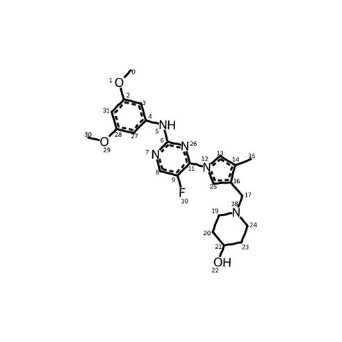 COc1cc(Nc2ncc(F)c(-n3cc(C)c(CN4CCC(O)CC4)c3)n2)cc(OC)c1